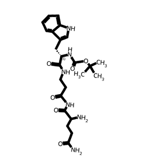 CC(C)(C)OC(=O)N[C@@H](Cc1c[nH]c2ccccc12)C(=O)NCCC(=O)NC(=O)C(N)CCC(N)=O